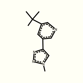 Cn1cc(-c2cncc(C(C)(C)C)c2)nn1